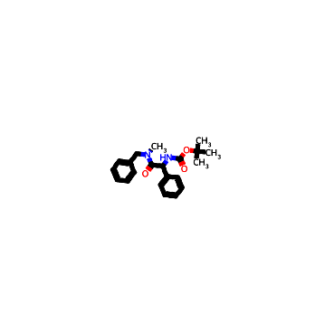 CN(Cc1ccccc1)C(=O)C(NC(=O)OC(C)(C)C)c1ccccc1